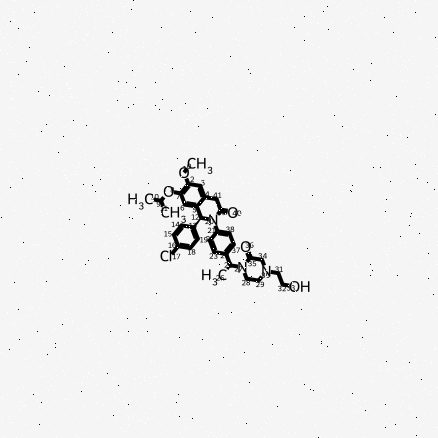 COc1cc2c(cc1OC(C)C)[C@H](c1ccc(Cl)cc1)N(c1ccc([C@H](C)N3CCN(CCO)CC3=O)cc1)C(=O)C2